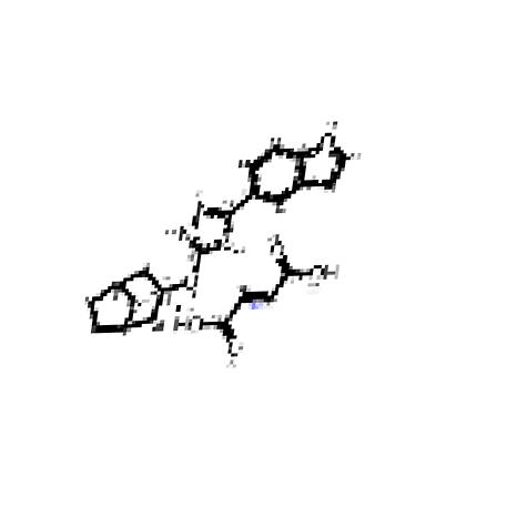 CN1C2CCC1CC(Oc1nnc(-c3ccc4occc4c3)s1)C2.O=C(O)/C=C/C(=O)O